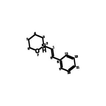 C(=C[SiH]1CCCCO1)c1ccccc1